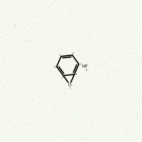 F.c1ccc2c(c1)O2